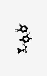 Cc1cc(Oc2ccc(I)c(Cl)c2)c(C)cc1N=CN(C)C1CC1